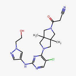 CC12CN(C(=O)CC#N)CC1(C)CN(c1nc(Nc3cnn(CCO)c3)ncc1Cl)C2